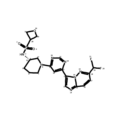 O=S(=O)(N[C@H]1CCCN(c2cc(-c3cnc4ccc(C(F)F)nn34)ncn2)C1)C1COC1